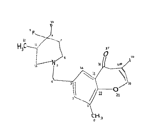 Cc1cc(CN2CCC(F)(F)C(C)C2)cc2c(=O)c(I)coc12